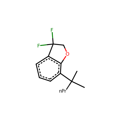 CCCC(C)(C)c1cccc2c1OCC2(F)F